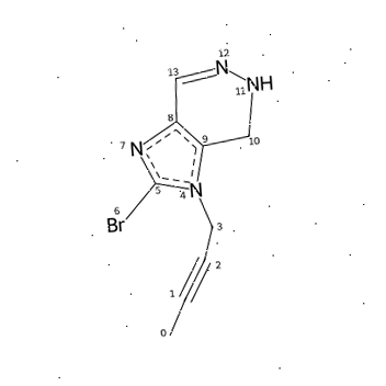 CC#CCn1c(Br)nc2c1CNN=C2